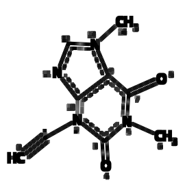 C#Cn1c(=O)n(C)c(=O)c2c1ncn2C